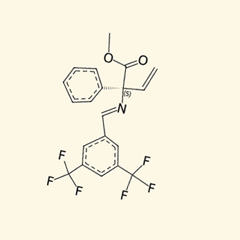 C=C[C@@](N=Cc1cc(C(F)(F)F)cc(C(F)(F)F)c1)(C(=O)OC)c1ccccc1